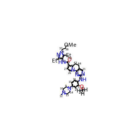 [2H]C([2H])([2H])Oc1cc(N2CCN(C)CC2)ccc1Nc1ncc2c(n1)-n1ccc(C(=O)Nc3c(CC)nn(CCOC)c3CC)c1CC2